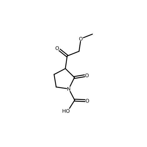 COCC(=O)C1CCN(C(=O)O)C1=O